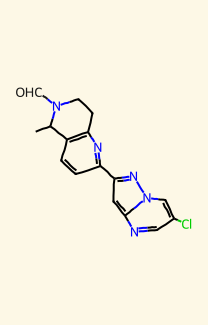 CC1c2ccc(-c3cc4ncc(Cl)cn4n3)nc2CCN1C=O